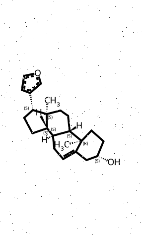 C[C@]12CC[C@H]3[C@@H](CC=C4C[C@@H](O)CC[C@@]43C)[C@@H]1CC[C@@H]2c1ccoc1